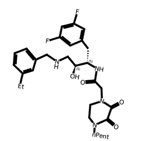 CCCCCN1CCN(CC(=O)N[C@@H](Cc2cc(F)cc(F)c2)[C@@H](O)CNCc2cccc(CC)c2)C(=O)C1=O